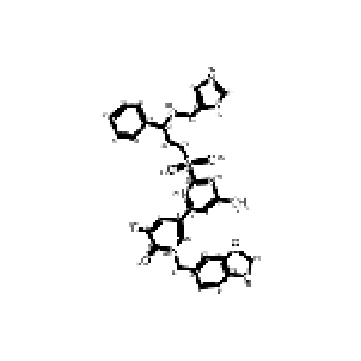 Cc1cc(-c2cc(F)c(=O)n(Cc3ccc4c(c3)OCO4)c2)nc(S(=O)(=O)CCC(OCc2cncs2)c2ccccc2)n1